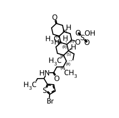 CCC(NC(=O)C[C@@H](C)[C@H]1CC[C@H]2[C@@H]3[C@H](OS(=O)(=O)O)C[C@@H]4CC(=O)CC[C@]4(C)[C@H]3CC[C@]12C)c1ccc(Br)s1